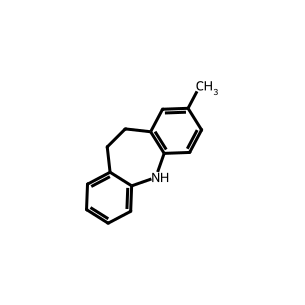 Cc1ccc2c(c1)CCc1ccccc1N2